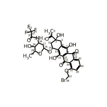 CC(=O)[C@]1(O)Cc2c(O)c3c(c(O)c2[C@@H](OC2CC(NC(=O)C(F)(F)F)C(O)C(C)O2)C1)C(=O)c1c(OCBr)cccc1C3=O